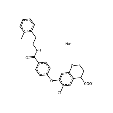 Cc1ccccc1CCNC(=O)c1ccc(Oc2cc3c(cc2Cl)C(C(=O)[O-])CCO3)cc1.[Na+]